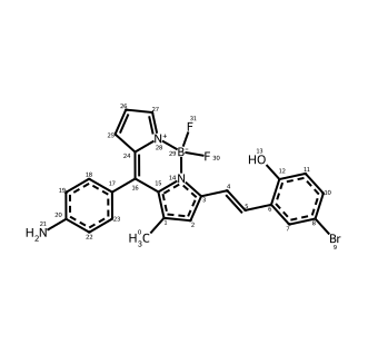 Cc1cc(/C=C/c2cc(Br)ccc2O)n2c1C(c1ccc(N)cc1)=C1C=CC=[N+]1[B-]2(F)F